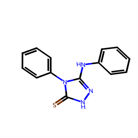 S=c1[nH]nc(Nc2ccccc2)n1-c1ccccc1